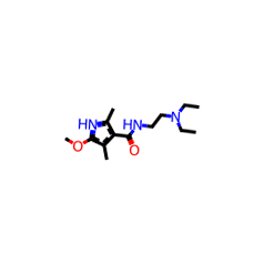 CCN(CC)CCNC(=O)c1c(C)[nH]c(OC)c1C